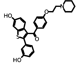 O=C(c1ccc(OCCN2CCCCC2)cc1)c1c(-c2cccc(O)c2)sc2cc(O)ccc12